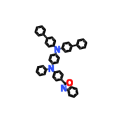 c1ccc(-c2ccc(N(c3ccc(-c4ccccc4)cc3)c3ccc(N(c4ccccc4)c4ccc(-c5nc6ccccc6o5)cc4)cc3)cc2)cc1